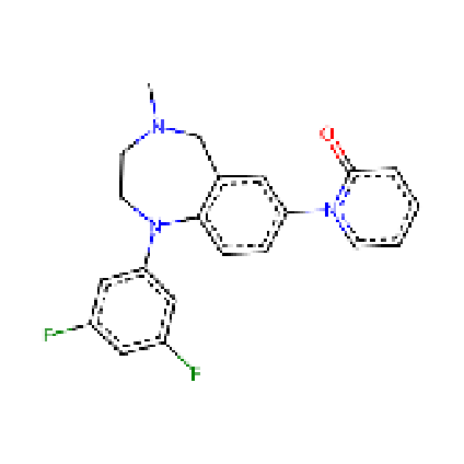 CN1CCN(c2cc(F)cc(F)c2)c2ccc(-n3ccccc3=O)cc2C1